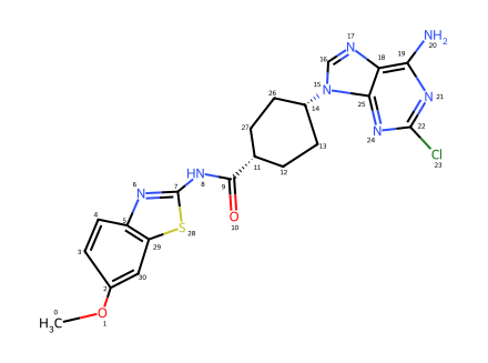 COc1ccc2nc(NC(=O)[C@H]3CC[C@@H](n4cnc5c(N)nc(Cl)nc54)CC3)sc2c1